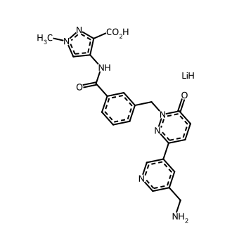 Cn1cc(NC(=O)c2cccc(Cn3nc(-c4cncc(CN)c4)ccc3=O)c2)c(C(=O)O)n1.[LiH]